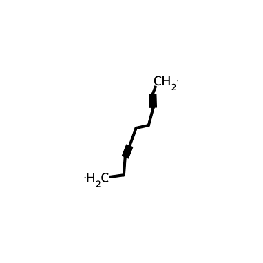 [CH2]C#CCCC#CC[CH2]